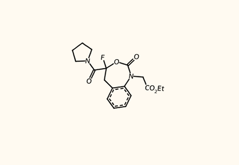 CCOC(=O)CN1C(=O)OC(F)(C(=O)N2CCCC2)Cc2ccccc21